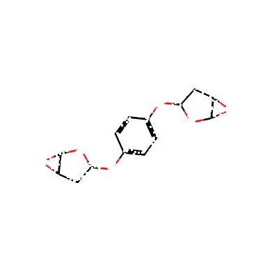 c1cc(OC2CC3OC3O2)ccc1OC1CC2OC2O1